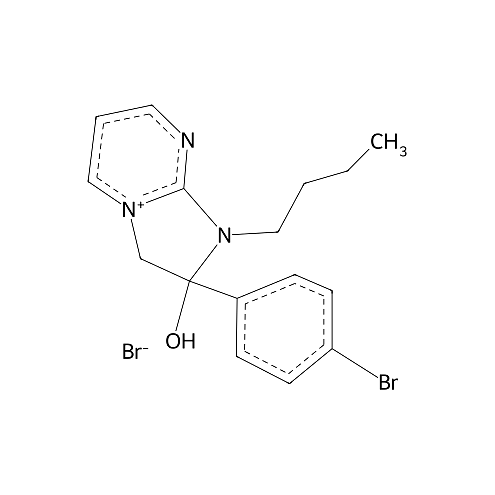 CCCCN1c2nccc[n+]2CC1(O)c1ccc(Br)cc1.[Br-]